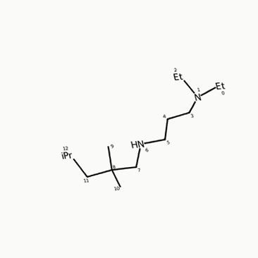 CCN(CC)CCCNCC(C)(C)CC(C)C